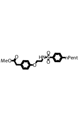 CCCCCc1ccc(S(=O)(=O)NCCOc2ccc(CC(=O)OC)cc2)cc1